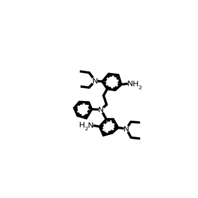 CCN(CC)c1ccc(N)c(N(CCc2cc(N)ccc2N(CC)CC)c2ccccc2)c1